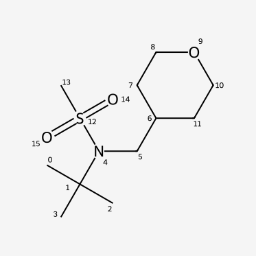 CC(C)(C)N(CC1CCOCC1)S(C)(=O)=O